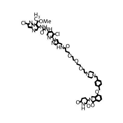 CO[C@@H](C)c1c(NC(=O)Nc2cnc(-n3cc(CNC(=O)CCOCCOCCOCCN4CCN(Cc5ccc(COc6cccc7c6CN(C6CCC(=O)NC6=O)C7=O)cc5)CC4)cn3)c(Cl)c2)cnc2cc(Cl)nn12